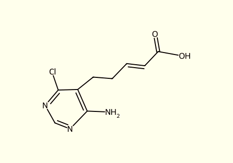 Nc1ncnc(Cl)c1CCC=CC(=O)O